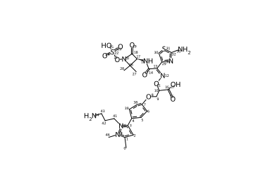 Cc1cc(-c2ccc(OCC(O/N=C(\C(=O)N[C@@H]3C(=O)N(OS(=O)(=O)O)C3(C)C)c3csc(N)n3)C(=O)O)cc2)n(CCCN)[n+]1C